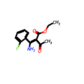 CCOC(=O)/C(C(C)=O)=C(/N)c1ccccc1F